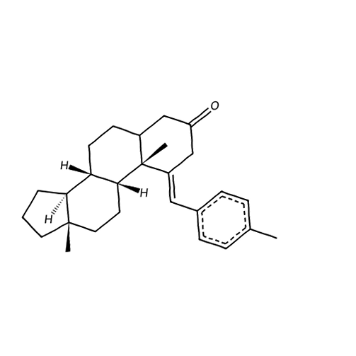 Cc1ccc(C=C2CC(=O)CC3CC[C@@H]4[C@@H](CC[C@]5(C)CCC[C@@H]45)[C@@]23C)cc1